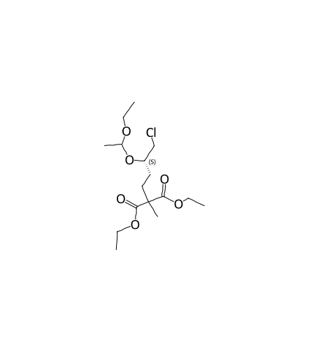 CCOC(=O)C(C)(CC[C@@H](CCl)OC(C)OCC)C(=O)OCC